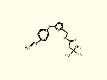 C=CSc1ccc(Sc2ccc(CNC(=O)OC(C)(C)C)s2)cc1